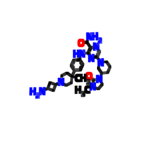 CN1CCN(C2CCCN(c3cnc(C(N)=O)c(Nc4ccc(C5(C)CCN(C6CC(N)C6)CC5)cc4)n3)C2)C1=O